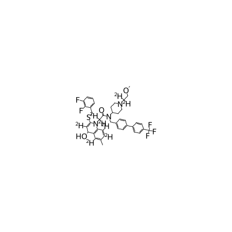 [2H]C1=C(SCc2cccc(F)c2F)N(C([2H])([2H])C(=O)N(Cc2ccc(-c3ccc(C(F)(F)F)cc3)cc2)C2CCN(C([2H])([2H])COC)CC2)c2c([2H])c([2H])c(C)c([2H])c2C1O